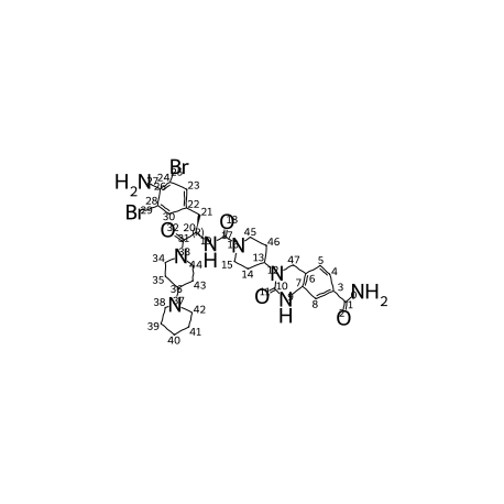 NC(=O)c1ccc2c(c1)NC(=O)N(C1CCN(C(=O)N[C@H](Cc3cc(Br)c(N)c(Br)c3)C(=O)N3CCC(N4CCCCC4)CC3)CC1)C2